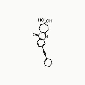 O=c1c2ccc(C#CC3=CCCCC3)cc2nc2n1CCC(O)(O)CC2